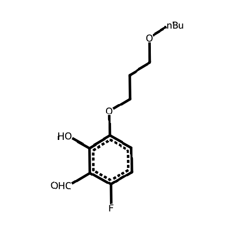 CCCCOCCCOc1ccc(F)c(C=O)c1O